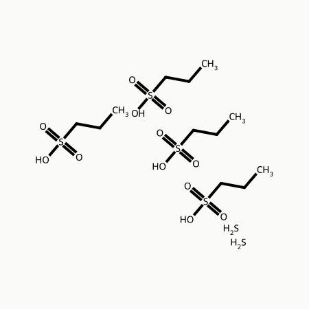 CCCS(=O)(=O)O.CCCS(=O)(=O)O.CCCS(=O)(=O)O.CCCS(=O)(=O)O.S.S